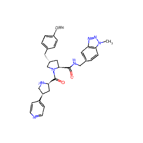 COc1ccc(C[C@@H]2C[C@@H](C(=O)NCc3ccc4c(c3)nnn4C)N(C(=O)[C@H]3C[C@@H](c4ccncc4)CN3)C2)cc1